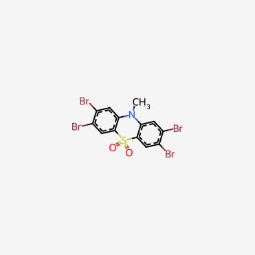 CN1c2cc(Br)c(Br)cc2S(=O)(=O)c2cc(Br)c(Br)cc21